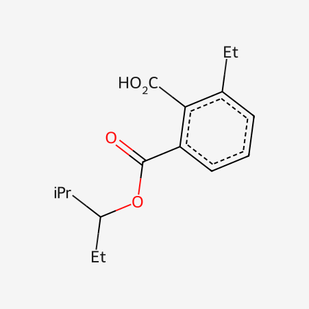 CCc1cccc(C(=O)OC(CC)C(C)C)c1C(=O)O